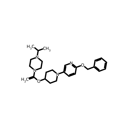 C=C(OC1CCN(c2ccc(OCc3ccccc3)nc2)CC1)N1CCN(C(C)C)CC1